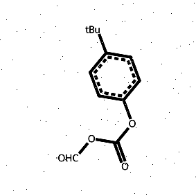 CC(C)(C)c1ccc(OC(=O)O[C]=O)cc1